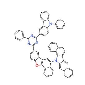 c1ccc(-c2nc(-c3ccc4oc5c6ccccc6c(-n6c7cc8ccccc8cc7c7ccc8ccccc8c76)cc5c4c3)nc(-c3ccc4c(c3)c3ccccc3n4-c3ccccc3)n2)cc1